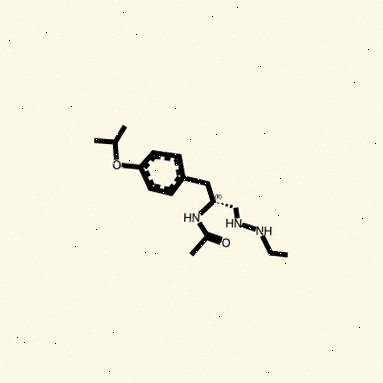 CCNNC[C@@H](Cc1ccc(OC(C)C)cc1)NC(C)=O